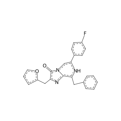 O=c1c(Cc2ccco2)nc2c(Cc3ccccc3)[nH]c(-c3ccc(F)cc3)cn1-2